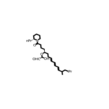 CCC[C@@H]1CCCCN1C(=O)CCC[C@@H](CC/C=C/C=C/C=C/C(C)CC(C)C)O[C@@H](O)C=O